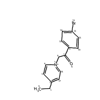 CCc1cc[n+](CC(=O)c2ccc(Br)cc2)cc1